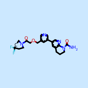 NC(=O)N1CCCc2cc(-c3cncc(COCC(=O)N4CCC(F)(F)CC4)c3)cnc21